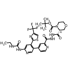 CCNC(=O)Nc1cc(-c2nc(C(F)(F)F)cs2)c(-c2ccnc(C(=O)NNC(=O)[C@H]3COCCN3C(=O)OC(C)(C)C)c2)cn1